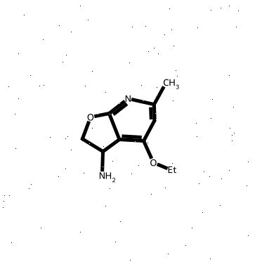 CCOc1cc(C)nc2c1C(N)CO2